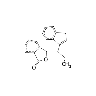 CCCC1=CCc2ccccc21.O=C1OCc2ccccc21